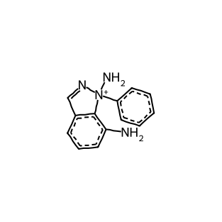 Nc1cccc2c1[N+](N)(c1ccccc1)N=C2